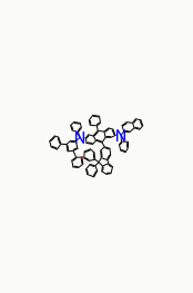 c1ccc(-c2cc(-c3ccccc3)cc(N(c3ccccc3)c3ccc4c(-c5ccc6c(c5)C(c5ccccc5)(c5ccccc5)c5ccccc5-6)c5cc(N(c6ccccc6)c6ccc7ccccc7c6)ccc5c(-c5ccccc5)c4c3)c2)cc1